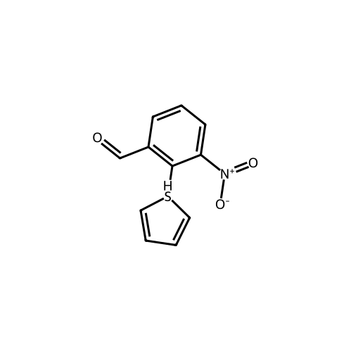 O=Cc1cccc([N+](=O)[O-])c1[SH]1C=CC=C1